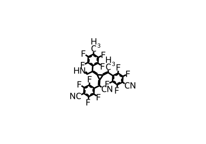 C/C(=C1\C(=C(C=N)c2c(F)c(F)c(C)c(F)c2F)\C1=C(\C#N)c1c(F)c(F)c(C#N)c(F)c1F)c1c(F)c(F)c(C#N)c(F)c1F